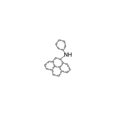 c1ccc(Nc2cc3cccc4ccc5cccc2c5c43)cc1